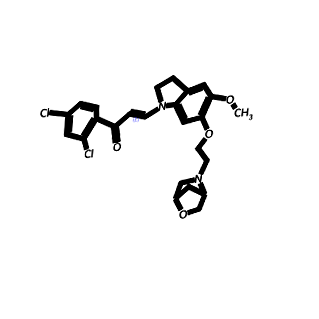 COc1cc2c(cc1OCCN1CC3CC1CO3)N(/C=C/C(=O)c1ccc(Cl)cc1Cl)CC2